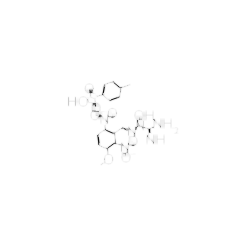 COc1ccc([N+](=O)[O-])c(C=NN(O)C(=N)N)c1[N+](=O)[O-].Cc1ccc(S(=O)(=O)O)cc1